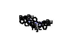 CCCCN1/C(=C/C=C2\CCCC(/C=C/C3N(CCCC)c4c(Br)cccc4C3(C)C)=C2Cl)C(C)(C)c2cccc(Br)c21